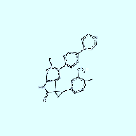 Cc1ccc(C2CC23C(=O)Nc2cc(F)c(-c4ccc(-c5ccncc5)cc4)cc23)cc1C(=O)O